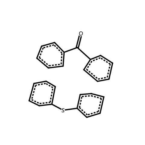 O=C(c1ccccc1)c1ccccc1.c1ccc(Sc2ccccc2)cc1